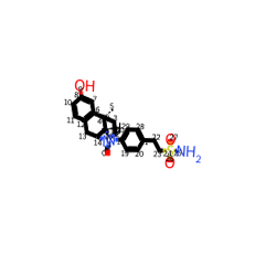 CN1CC[C@]2(C)c3cc(O)ccc3CC1[C@@H]2N(C)c1ccc(CCS(N)(=O)=O)cc1